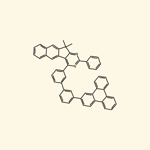 CC1(C)c2cc3ccccc3cc2-c2c(-c3cccc(-c4cccc(-c5ccc6c7ccccc7c7ccccc7c6c5)c4)c3)nc(-c3ccccc3)nc21